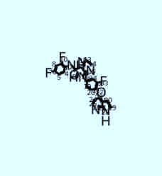 O=C(Nc1ccc(F)cc1F)c1nccnc1Nc1ccc(Oc2ccnc3[nH]ccc23)c(F)c1